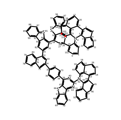 c1ccc(N2c3c(ccc4ccccc34)-c3cccc4cccc2c34)c(-c2nc(-c3cc(-c4cc(-c5ccc(-c6nc(N7c8c(ccc9ccccc89)-c8cccc9cccc7c89)nc7c6sc6ccccc67)cc5)cc5ccccc45)cc4c3sc3ccccc34)c3sc4ccccc4c3n2)c1